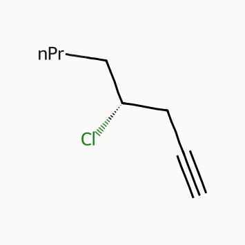 C#CC[C@H](Cl)CCCC